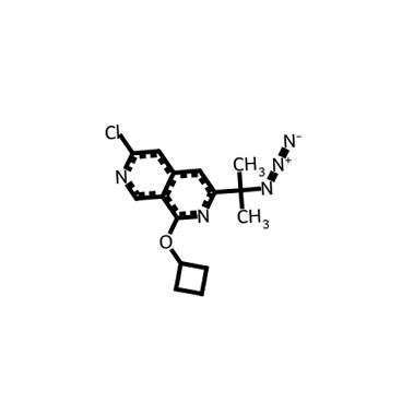 CC(C)(N=[N+]=[N-])c1cc2cc(Cl)ncc2c(OC2CCC2)n1